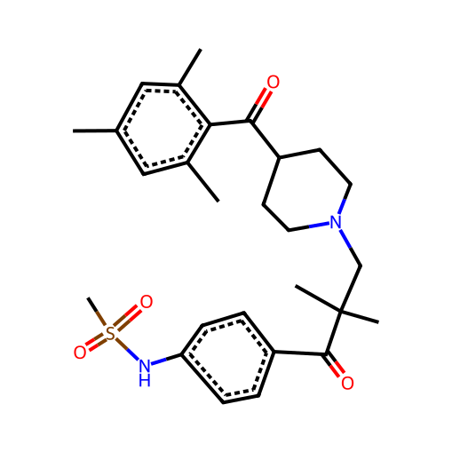 Cc1cc(C)c(C(=O)C2CCN(CC(C)(C)C(=O)c3ccc(NS(C)(=O)=O)cc3)CC2)c(C)c1